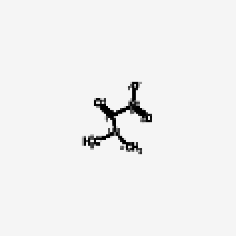 CN(C)C(=O)[N+](=O)[O-]